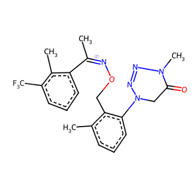 C/C(=N/OCc1c(C)cccc1N1CC(=O)N(C)N=N1)c1cccc(C(F)(F)F)c1C